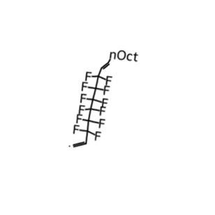 [CH]=CC(F)(F)C(F)(F)C(F)(F)C(F)(F)C(F)(F)C(F)(F)C=CCCCCCCCC